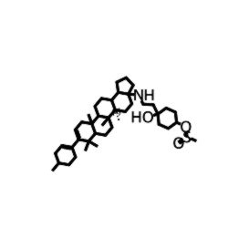 CC1CC=C(C2=CCC3(C)C(CCC4(C)C3CCC3C5CCCC5(NCCC5(O)CCC(OS(C)=O)CC5)CC[C@]34C)C2(C)C)CC1